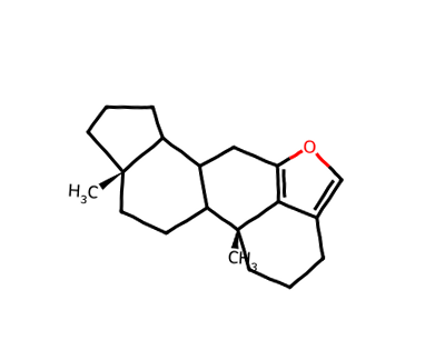 C[C@@]12CCCC1C1Cc3occ4c3[C@](C)(CCC4)C1CC2